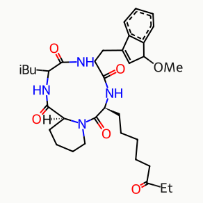 CCC(=O)CCCCC[C@@H]1NC(=O)C(CC2=CC(OC)c3ccccc32)NC(=O)C(C(C)CC)NC(=O)[C@@H]2CCCCN2C1=O